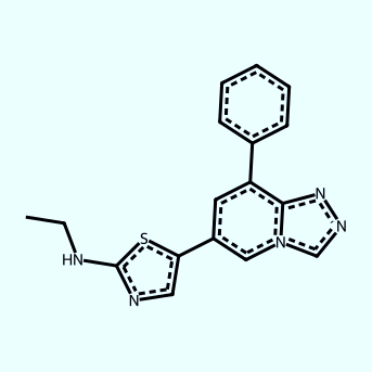 CCNc1ncc(-c2cc(-c3ccccc3)c3nncn3c2)s1